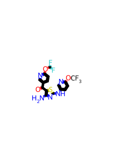 Nc1nc(Nc2ccc(OC(F)(F)F)nc2)sc1C(=O)c1ccc(OC(F)F)nc1